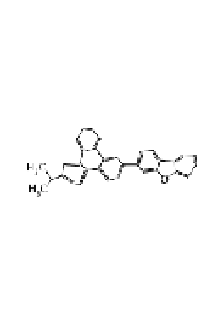 CC(C)c1ccc2c3ccc(-c4ccc5c(c4)oc4ccccc45)cc3c3ccccc3c2c1